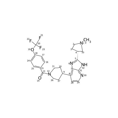 CN1CC[C@@H](c2nc3c(C4CCN(C(=O)c5ccc(OC(F)(F)F)cc5)CC4)ccnc3[nH]2)C1